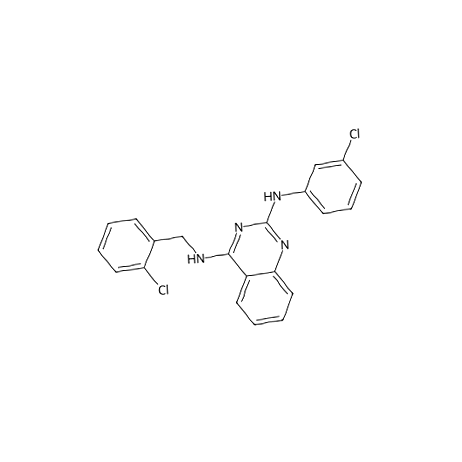 Clc1cccc(Nc2nc(NCc3ccccc3Cl)c3ccccc3n2)c1